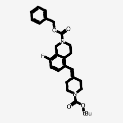 CC(C)(C)OC(=O)N1CCC(=Cc2ccc(F)c3c2CCN(C(=O)OCc2ccccc2)C3)CC1